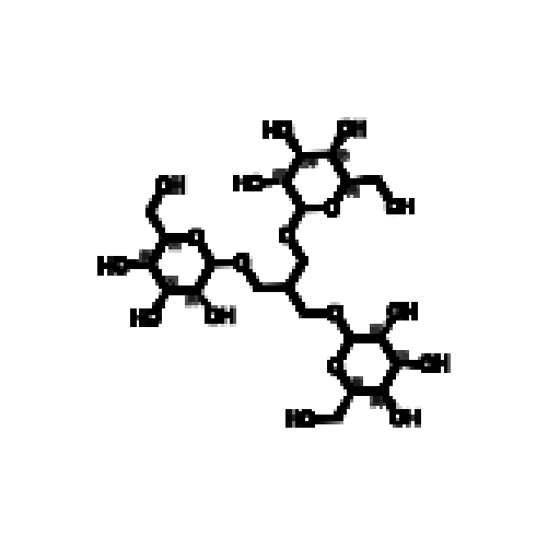 OC[C@H]1OC(OCC(COC2O[C@H](CO)[C@H](O)[C@H](O)[C@H]2O)COC2O[C@H](CO)[C@H](O)[C@H](O)[C@H]2O)[C@H](O)[C@@H](O)[C@H]1O